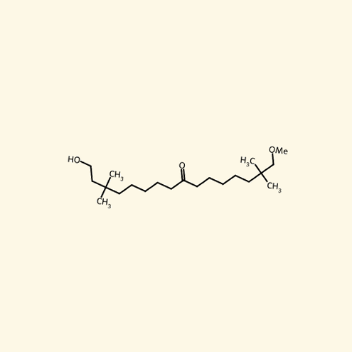 COCC(C)(C)CCCCCC(=O)CCCCCC(C)(C)CCO